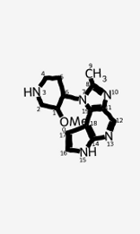 COC1CNCCC1n1c(C)nc2cnc3[nH]ccc3c21